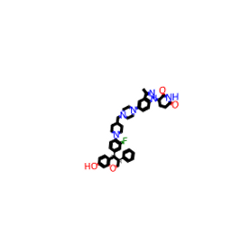 Cc1nn(C2CCC(=O)NC2=O)c2ccc(N3CCN(CC4CCN(c5ccc([C@@H]6c7ccc(O)cc7OC[C@@H]6c6ccccc6)cc5F)CC4)CC3)cc12